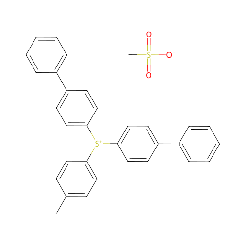 CS(=O)(=O)[O-].Cc1ccc([S+](c2ccc(-c3ccccc3)cc2)c2ccc(-c3ccccc3)cc2)cc1